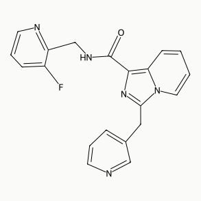 O=C(NCc1ncccc1F)c1nc(Cc2cccnc2)n2ccccc12